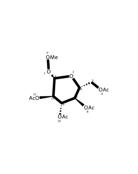 COO[C@@H]1O[C@H](COC(C)=O)[C@@H](OC(C)=O)[C@H](OC(C)=O)[C@H]1OC(C)=O